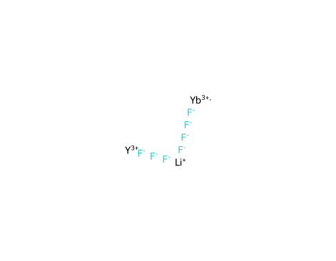 [F-].[F-].[F-].[F-].[F-].[F-].[F-].[Li+].[Y+3].[Yb+3]